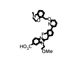 COCCn1c(Cc2ccc(-c3cccc(OCc4cccc5c4OCCN5C)n3)cc2F)nc2ccc(C(=O)O)cc21